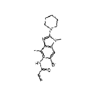 C=CC(=O)Nc1c(Br)cc2c(nc(N3CCCCC3)n2C)c1C